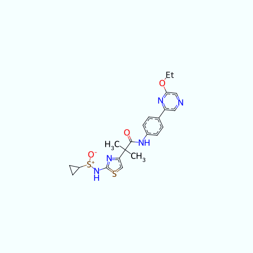 CCOc1cncc(-c2ccc(NC(=O)C(C)(C)c3csc(N[S+]([O-])C4CC4)n3)cc2)n1